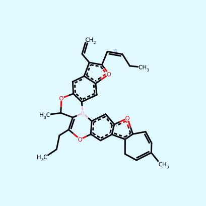 C=Cc1c(/C=C\CC)oc2cc3c(cc12)OC(C)C1=C(CCC)Oc2cc4c5c(oc4cc2B13)C=CC(C)=CC5